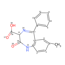 Cc1ccc2c(c1)C(c1ccccc1)=NC(C(=O)O)C(=O)N2